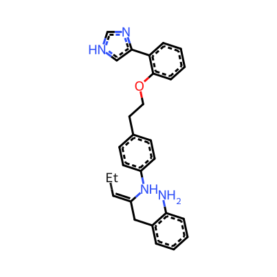 CC/C=C(/Cc1ccccc1N)Nc1ccc(CCOc2ccccc2-c2c[nH]cn2)cc1